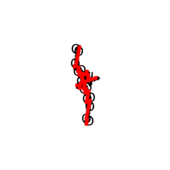 C=CC(=O)OCCCCCCOc1ccc(OC(=O)[C@H]2CC[C@H](C(=O)Oc3cc(/C=N/N(CCCCCC)c4nc5cccnc5s4)c(OC(=O)[C@H]4CC[C@H](C(=O)Oc5ccc(OCCCCCCOC(=O)C=C)cc5)CC4)c4ccccc34)CC2)cc1